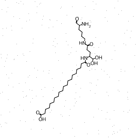 NC(C=O)CCCCNC(=O)CCC(NC(=O)CCCCCCCCCCCCCCCCCCC(=O)O)C(O)O